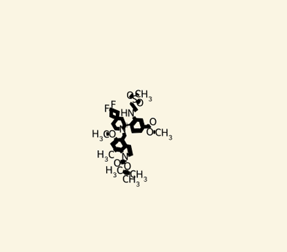 COC(=O)c1ccc([C@@H]2CC3(CCN2Cc2c(OC)cc(C)c4c2ccn4C(=O)OC(C)(C)C)CC(F)(F)C3)c(NCCS(C)(=O)=O)c1